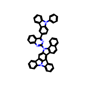 c1ccc(-n2c3ccccc3c3cc(-c4nc(-n5c6cc7c8ccccc8n8c9ccccc9c(c6c6ccc9ccccc9c65)c78)nc5ccccc45)ccc32)cc1